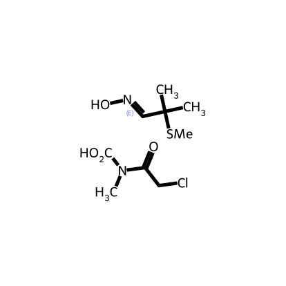 CN(C(=O)O)C(=O)CCl.CSC(C)(C)/C=N/O